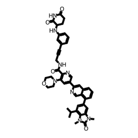 CC(C)c1cc(-c2cccc3cc(-c4cnc(C(=O)NCC#Cc5cccc(NC6CCC(=O)NC6=O)c5)c(N5CCOCC5)c4)ncc23)cc2c1n(C)c(=O)n2C